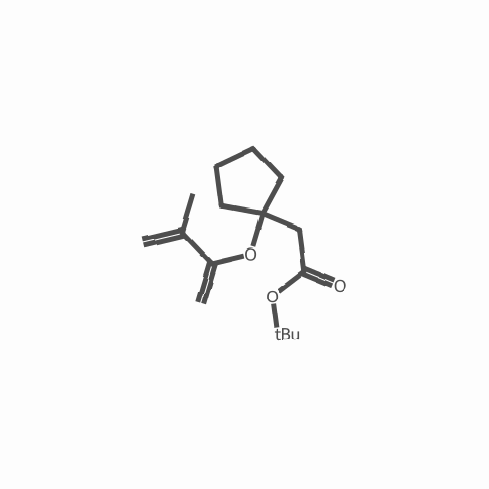 C=C(C)C(=C)OC1(CC(=O)OC(C)(C)C)CCCC1